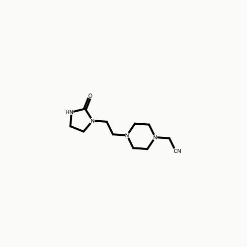 N#CCN1CCN(CCN2CCNC2=O)CC1